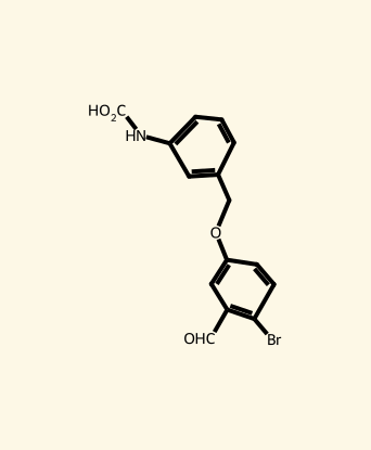 O=Cc1cc(OCc2cccc(NC(=O)O)c2)ccc1Br